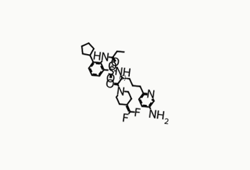 CCC(=O)Nc1c(C2CCCC2)cccc1S(=O)(=O)N[C@@H](CCCc1ccc(N)cn1)C(=O)N1CCC(=C(F)F)CC1